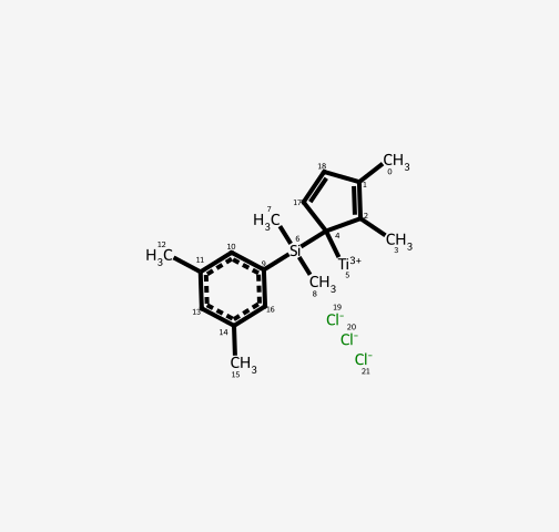 CC1=C(C)[C]([Ti+3])([Si](C)(C)c2cc(C)cc(C)c2)C=C1.[Cl-].[Cl-].[Cl-]